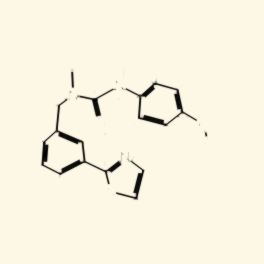 CCN(Cc1cccc(-c2nccs2)c1)C(=O)Nc1ccc(OC(F)(F)F)cc1